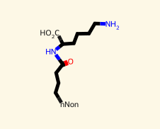 CCCCCCCCCCCCC(=O)NC(CCCCN)C(=O)O